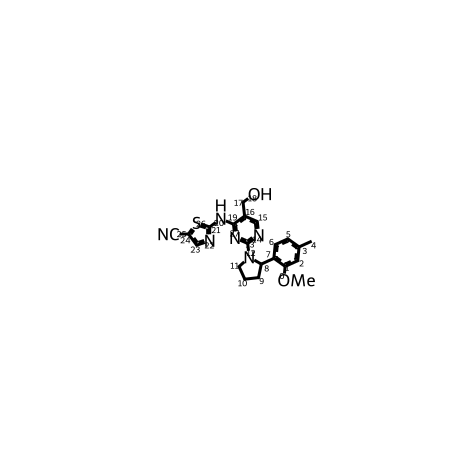 COc1cc(C)ccc1C1CCCN1c1ncc(CO)c(Nc2ncc(C#N)s2)n1